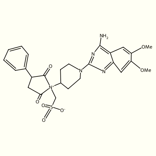 COc1cc2nc(N3CCC([N+]4(CS(=O)(=O)[O-])C(=O)CC(c5ccccc5)C4=O)CC3)nc(N)c2cc1OC